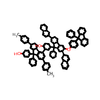 Cc1ccc(-c2ccc3c(c2)C(c2ccccc2)(c2ccc(O)cc2)c2cc(-c4ccc(C)cc4)cc(-c4cc(C5(c6ccccc6)c6cc(-c7ccc8ccccc8c7)ccc6-c6cc(Oc7ccc(C8(c9ccccc9)c9ccccc9-c9ccccc98)cc7)c(-c7ccc8ccccc8c7)cc65)ccc4O)c2-3)cc1